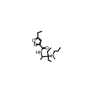 CCCN(C)C(CC)(CC)C(C)NC(=O)c1cc(CC)on1